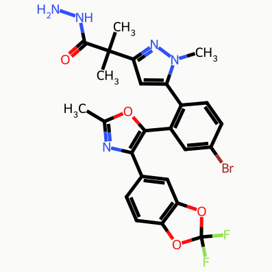 Cc1nc(-c2ccc3c(c2)OC(F)(F)O3)c(-c2cc(Br)ccc2-c2cc(C(C)(C)C(=O)NN)nn2C)o1